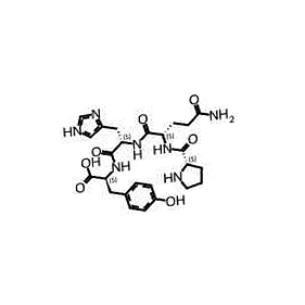 NC(=O)CC[C@H](NC(=O)[C@@H]1CCCN1)C(=O)N[C@@H](Cc1c[nH]cn1)C(=O)N[C@@H](Cc1ccc(O)cc1)C(=O)O